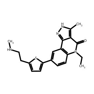 CCn1c(=O)c2c(C)[nH]nc2c2cc(-c3ccc(CCNC)s3)ccc21